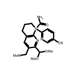 CNCc1cc2c(nc1C(OC)OC)[N+](C(N)=O)(c1ccc(C#N)cn1)CCC2